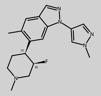 Cc1cc2cnn(-c3cnn(C)c3)c2cc1[C@@H]1CCN(C)C[C@@H]1F